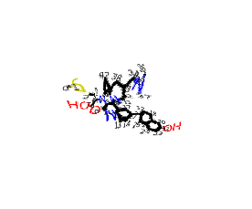 CSCC[C@@H](C(=O)O)N(c1cnc2ccc(-c3ccc4cc(O)ccc4c3)cc2c1N1CCC(CN(C)C)CC1)C1CC1